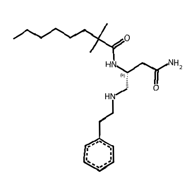 CCCCCCC(C)(C)C(=O)N[C@@H](CNCCc1ccccc1)CC(N)=O